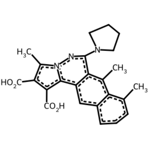 Cc1cccc2cc3c(c(N4CCCC4)nn4c(C)c(C(=O)O)c(C(=O)O)c34)c(C)c12